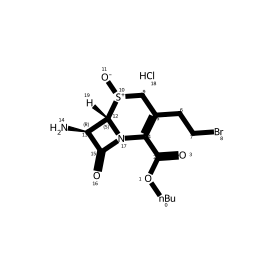 CCCCOC(=O)C1=C(CCBr)C[S+]([O-])[C@H]2[C@H](N)C(=O)N12.Cl